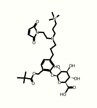 CC(C)(C)C(=O)OCc1ccc(CCCN(CCC[N+](C)(C)C)CCN2C(=O)C=CC2=O)cc1O[C@@H]1O[C@H](C(=O)O)[C@@H](O)[C@H](O)[C@H]1O